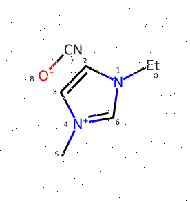 CCn1cc[n+](C)c1.N#C[O-]